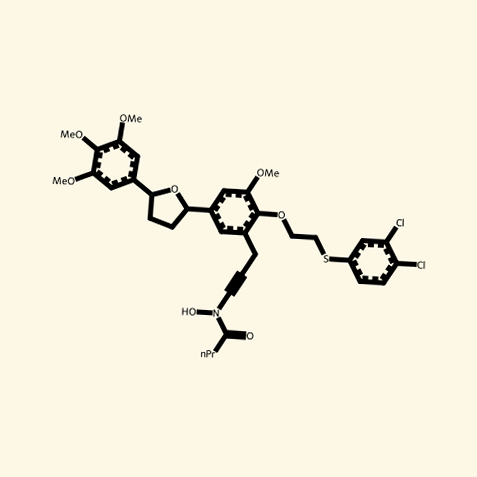 CCCC(=O)N(O)C#CCc1cc(C2CCC(c3cc(OC)c(OC)c(OC)c3)O2)cc(OC)c1OCCSc1ccc(Cl)c(Cl)c1